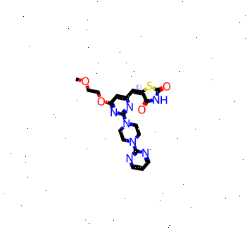 COCCOc1cc(/C=C2/SC(=O)NC2=O)nc(N2CCN(c3ncccn3)CC2)n1